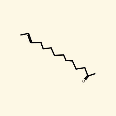 CC=CCCCCCCCCCC(C)=O